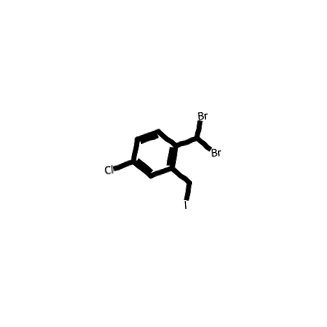 Clc1ccc(C(Br)Br)c(CI)c1